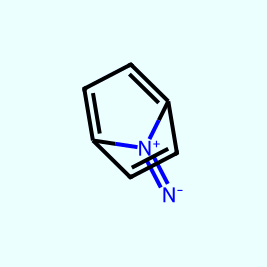 [N-]=[N+]1C2=CC=C1C=C2